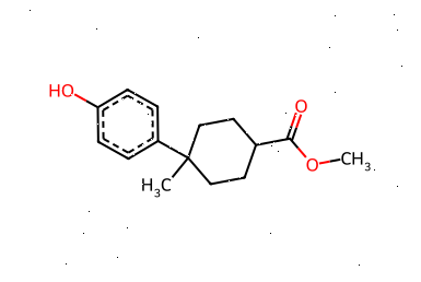 COC(=O)C1CCC(C)(c2ccc(O)cc2)CC1